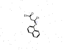 CCC(=O)C/C(CC)=N\c1cccc2ccccc12